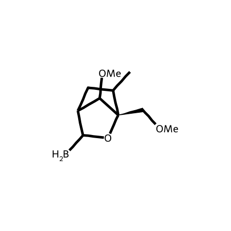 BC1O[C@@]2(COC)C(C)CC1C2OC